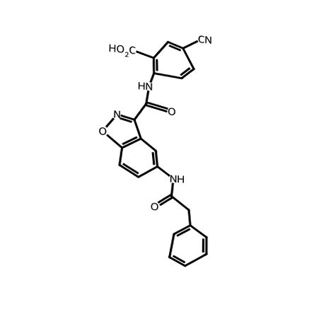 N#Cc1ccc(NC(=O)c2noc3ccc(NC(=O)Cc4ccccc4)cc23)c(C(=O)O)c1